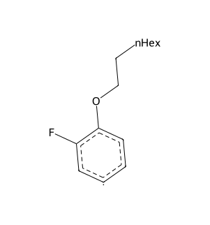 CCCCCCCCOc1cc[c]cc1F